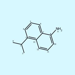 CC(C)c1cccc2c(N)cccc12